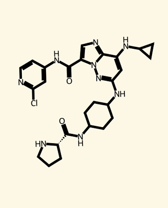 O=C(Nc1ccnc(Cl)c1)c1cnc2c(NC3CC3)cc(NC3CCC(NC(=O)[C@@H]4CCCN4)CC3)nn12